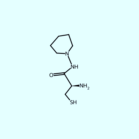 N[C@@H](CS)C(=O)NN1CCCCC1